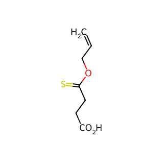 C=CCOC(=S)CCC(=O)O